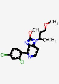 CCC(CCOC)n1c(OC)nc2c(-c3ccc(Cl)cc3Cl)nccc21